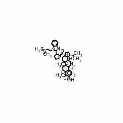 C=C(C)[C@@H]1CC[C@]2(C(=O)N3CCC[C@H]3c3nc4ccccc4n3CCN(C)C)CC[C@]3(C)[C@H](CC[C@@H]4[C@@]5(C)CC[C@H](O)C(C)(C)[C@@H]5CC[C@]43C)[C@@H]12